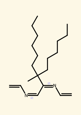 C=C/N=C\C(=N/C=C)C(C)(CCCCCC)CCCCCC